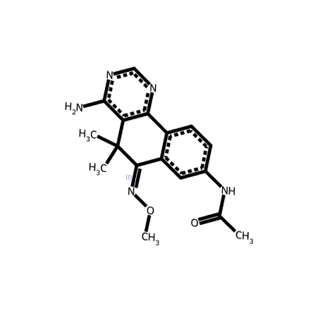 CO/N=C1\c2cc(NC(C)=O)ccc2-c2ncnc(N)c2C1(C)C